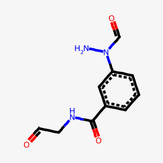 NN(C=O)c1cccc(C(=O)NC[C]=O)c1